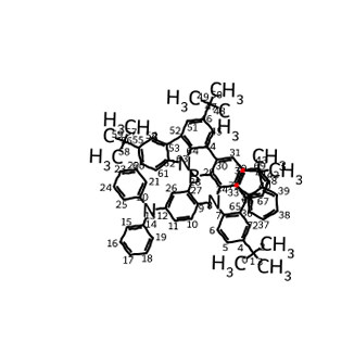 CC(C)(C)c1ccc(N2c3ccc(N(c4ccccc4)c4ccccc4)cc3B3c4c(cc5c(c42)-c2ccccc2C5(C)C)-c2cc(C(C)(C)C)cc4c5cc(C(C)(C)C)ccc5n3c24)c(-c2ccccc2)c1